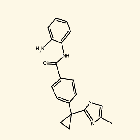 Cc1csc(C2(c3ccc(C(=O)Nc4ccccc4N)cc3)CC2)n1